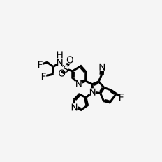 N#Cc1c(-c2ccc(S(=O)(=O)NC(CF)CF)cn2)n(-c2ccncc2)c2ccc(F)cc12